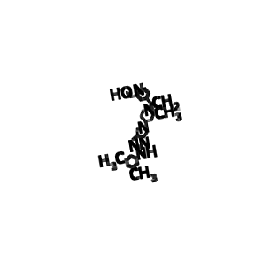 C=C(c1ccnc(CO)c1)N1CC[C@@H](N2Cc3cnc(Nc4cc(C)cc(C)c4)nc3C2)C[C@H]1C